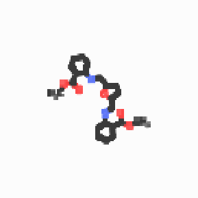 COC(=O)c1ccccc1N=Cc1ccc(C=Nc2ccccc2C(=O)OC)o1